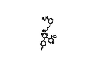 Cl.Nc1cccc(CCCNc2ncc(-c3ccc(F)cc3)c(-c3ccncc3)n2)c1